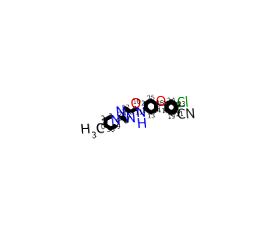 CC1CCN(c2cnc(C(=O)N[C@H]3CC[C@H](Oc4ccc(C#N)c(Cl)c4)CC3)cn2)CC1